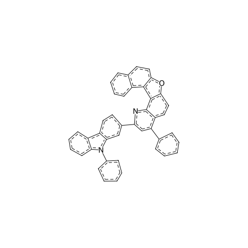 c1ccc(-c2cc(-c3ccc4c5ccccc5n(-c5ccccc5)c4c3)nc3c2ccc2oc4ccc5ccccc5c4c23)cc1